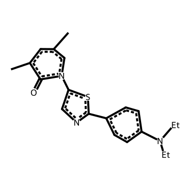 CCN(CC)c1ccc(-c2ncc(-n3cc(C)cc(C)c3=O)s2)cc1